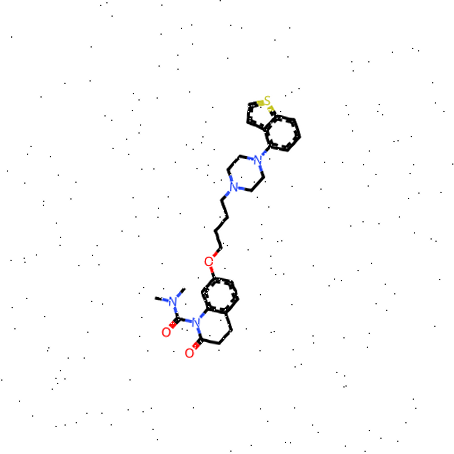 CN(C)C(=O)N1C(=O)CCc2ccc(OCCCCN3CCN(c4cccc5sccc45)CC3)cc21